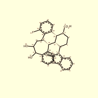 O=C(O)N1CCC(n2c(=O)[nH]c3ncccc32)[C@H]([C@H]2CCC(O)C(O)c3cccnc32)[C@@H]1c1cccc(F)c1F